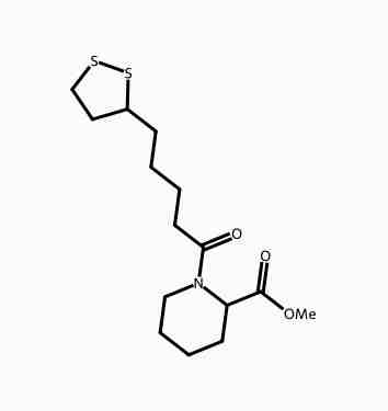 COC(=O)C1CCCCN1C(=O)CCCCC1CCSS1